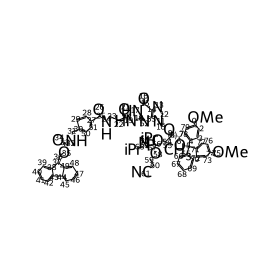 COc1ccc(C(OC[C@@H](OCn2cnc3c(=O)[nH]c(NC(=O)CCNC(=O)c4ccc(CNC(=O)OCC5c6ccccc6-c6ccccc65)cc4)nc32)C(C)OP(OCCC#N)N(C(C)C)C(C)C)(c2ccccc2)c2ccc(OC)cc2)cc1